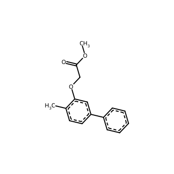 COC(=O)COc1cc(-c2ccccc2)ccc1C